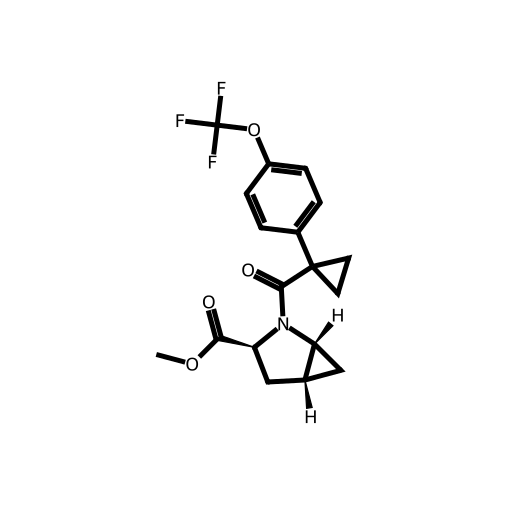 COC(=O)[C@@H]1C[C@H]2C[C@H]2N1C(=O)C1(c2ccc(OC(F)(F)F)cc2)CC1